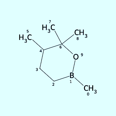 CB1CCC(C)C(C)(C)O1